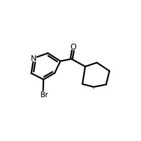 O=C(c1cncc(Br)c1)C1C[CH]CCC1